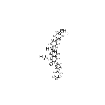 CCn1c(=O)c(-c2ccc(C3CCCOC3)s2)cc2cnc(Nc3ccc(N4CCN(C)CC4)cc3)nc21